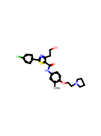 COc1cc(NC(=O)c2sc(-c3ccc(Cl)cc3)nc2CCO)ccc1OCCN1CCCC1